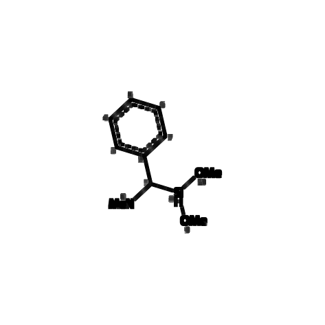 CNC(c1ccccc1)[SiH](OC)OC